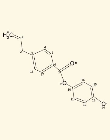 C=CCc1ccc(C(=O)Oc2ccc([O])cc2)cc1